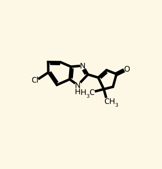 CC1(C)CC(=O)C=C1c1nc2ccc(Cl)cc2[nH]1